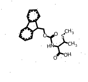 CSC(C)C(NC(=O)OCC1c2ccccc2-c2ccccc21)C(=O)O